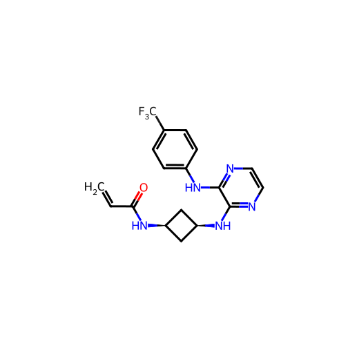 C=CC(=O)N[C@H]1C[C@@H](Nc2nccnc2Nc2ccc(C(F)(F)F)cc2)C1